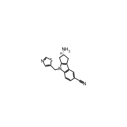 N#Cc1ccc2c(c1)c1c(n2Cc2cncs2)C[C@H](N)C1